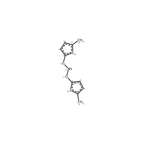 Cc1ccc(OBOc2ccc(C)s2)s1